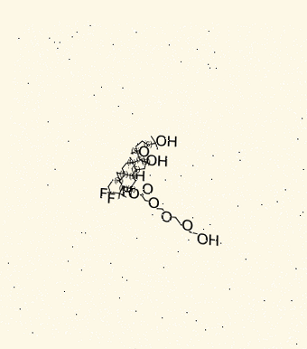 CC(C)(O)[C@@H]1CC[C@@](C)([C@H]2[C@@H](O)C[C@@]3(C)[C@@H]4C[C@H](OC(=O)COCCOCCOCCO)[C@H]5C(C)(C)C(F)(F)CC[C@@]56C[C@@]46CC[C@]23C)O1